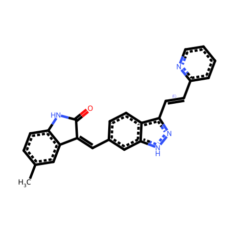 Cc1ccc2c(c1)C(=Cc1ccc3c(/C=C/c4ccccn4)n[nH]c3c1)C(=O)N2